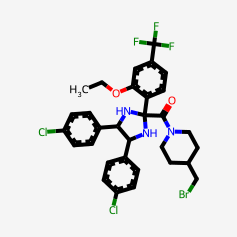 CCOc1cc(C(F)(F)F)ccc1C1(C(=O)N2CCC(CBr)CC2)NC(c2ccc(Cl)cc2)C(c2ccc(Cl)cc2)N1